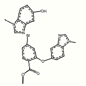 COC(=O)c1ccc(Br)cc1Oc1ccc2c(c1)ncn2C.Cn1cnc2cc(O)ccc21